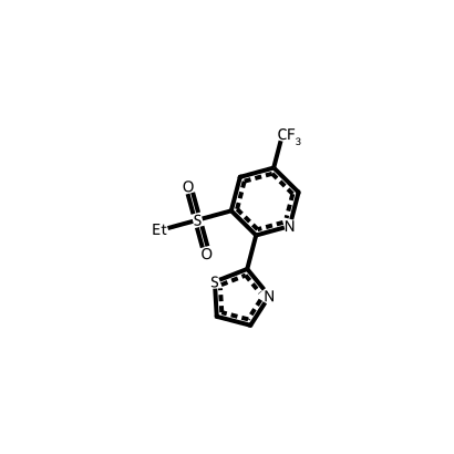 CCS(=O)(=O)c1cc(C(F)(F)F)cnc1-c1nccs1